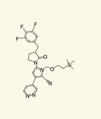 C[Si](C)(C)CCOCn1c(N2CCC(Cc3cc(F)c(F)c(F)c3)C2=O)cc(-c2ccnnc2)c1C#N